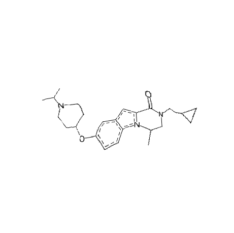 CC(C)N1CCC(Oc2ccc3c(c2)cc2n3C(C)CN(CC3CC3)C2=O)CC1